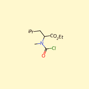 CCOC(=O)C(CC(C)C)N(C)C(=O)Cl